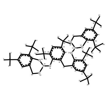 CC(C)(C)c1cc2c(c(C(C)(C)C)c1)OP(Oc1c(Cc3cc(C(C)(C)C)cc(C(C)(C)C)c3OP3OCc4cc(C(C)(C)C)cc(C(C)(C)C)c4O3)cc(C(C)(C)C)cc1C(C)(C)C)OC2